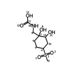 CS(=O)(=O)C1CCC(O)(CNC(=O)O)C(O)C1